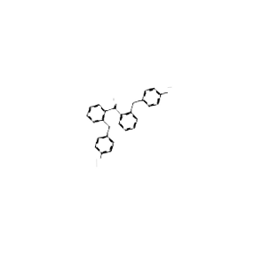 O=C(c1ccccc1Cc1ccc(F)cc1)c1ccccc1Cc1ccc(F)cc1